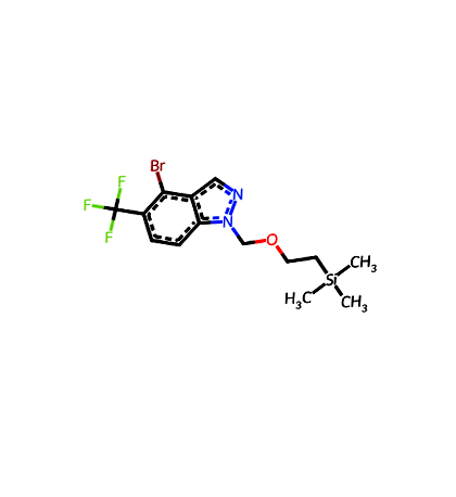 C[Si](C)(C)CCOCn1ncc2c(Br)c(C(F)(F)F)ccc21